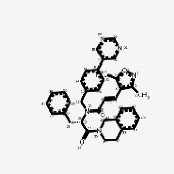 Cc1noc(C)c1/C=C/C(=O)N(Cc1ccc(-c2cncnc2)cc1)[C@@H](Cc1ccccc1)C(=O)N1CCc2ccccc2C1